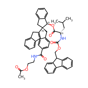 CC(=O)OCCNC(=O)c1ccc(C[C@@]2(C3=Cc4ccccc4C3)Cc3ccccc3[C@H]2OC(=O)[C@H](CC(C)C)NC(=O)OCC2c3ccccc3-c3ccccc32)cc1